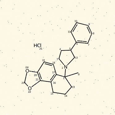 CC1(N2CCC(c3ccccc3)C2)CCCc2c1ccc1c2OCO1.Cl